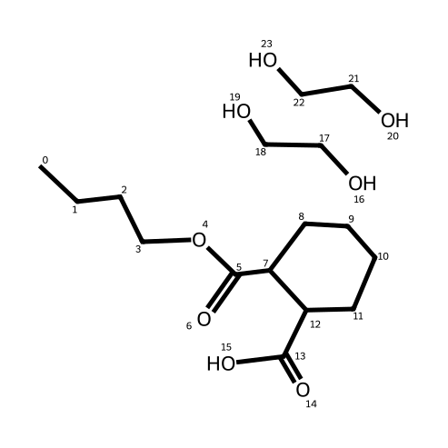 CCCCOC(=O)C1CCCCC1C(=O)O.OCCO.OCCO